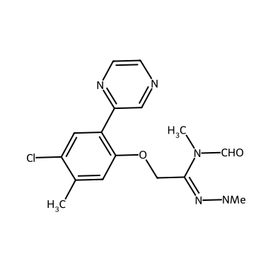 CN/N=C(/COc1cc(C)c(Cl)cc1-c1cnccn1)N(C)C=O